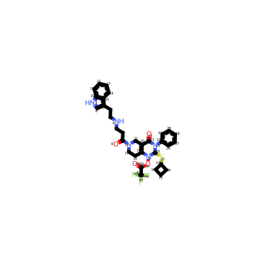 O=C(CCNCCc1c[nH]c2ccccc12)N1CCC2=C(C1)C(=O)N(c1ccccc1)C(SC1CCC1)N2OC(=O)C(F)(F)F